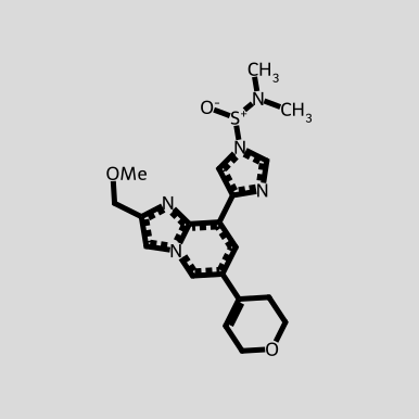 COCc1cn2cc(C3=CCOCC3)cc(-c3cn([S+]([O-])N(C)C)cn3)c2n1